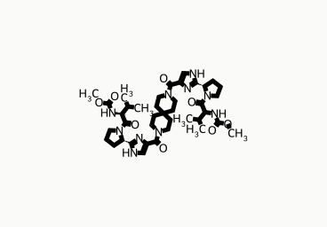 COC(=O)NC(C(=O)N1CCC[C@H]1c1nc(C(=O)N2CCC3(CC2)CCN(C(=O)c2c[nH]c([C@@H]4CCCN4C(=O)[C@@H](NC(=O)OC)C(C)C)n2)CC3)c[nH]1)C(C)C